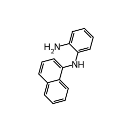 Nc1ccccc1Nc1cccc2ccccc12